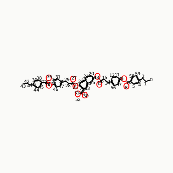 CCCc1ccc(C(=O)Oc2ccc(CCC(=O)Oc3ccc4cc(OC(=O)CCc5ccc(OC(=O)c6ccc(CCC)cc6)cc5)c(C(=O)OC)cc4c3)cc2)cc1